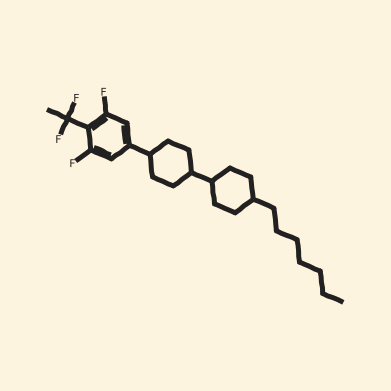 CCCCCCCC1CCC(C2CCC(c3cc(F)c(C(C)(F)F)c(F)c3)CC2)CC1